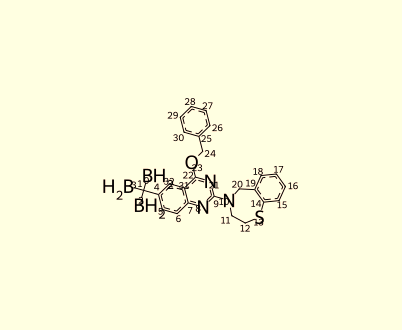 BC(B)(B)c1ccc2nc(N3CCSc4ccccc4C3)nc(OCc3ccccc3)c2c1